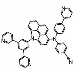 N#Cc1ccc(N(c2ccc(-c3cccnc3)cc2)c2ccc3c4c2ccc2cccc(c24)n3-c2cc(-c3cccnc3)cc(-c3cccnc3)c2)cc1